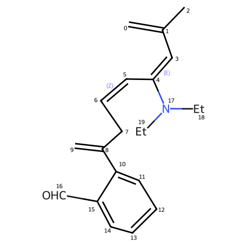 C=C(C)/C=C(\C=C/CC(=C)c1ccccc1C=O)N(CC)CC